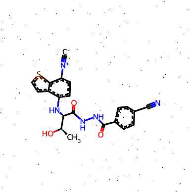 [C-]#[N+]c1ccc(N[C@@H](C(=O)NNC(=O)c2ccc(C#N)cc2)[C@@H](C)O)c2ccsc12